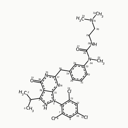 CC(C)c1[nH]n(-c2c(Cl)cc(Cl)cc2Cl)c2nc(Cc3cccc(N(C)C(=O)NCCN(C)C)c3)nc(=O)c1-2